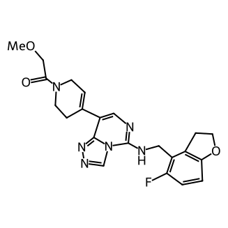 COCC(=O)N1CC=C(c2cnc(NCc3c(F)ccc4c3CCO4)n3cnnc23)CC1